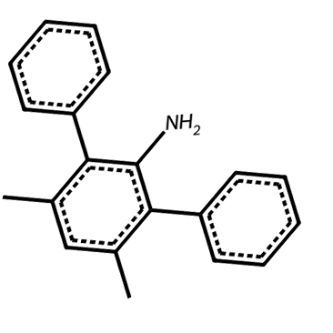 Cc1cc(C)c(-c2ccccc2)c(N)c1-c1ccccc1